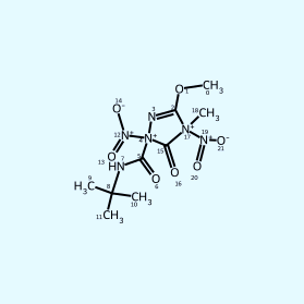 COC1=N[N+](C(=O)NC(C)(C)C)([N+](=O)[O-])C(=O)[N+]1(C)[N+](=O)[O-]